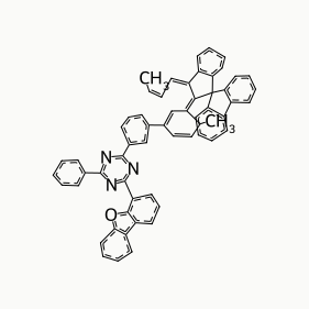 C\C=C/C=C1\C(=C2/C=C(c3cccc(-c4nc(-c5ccccc5)nc(-c5cccc6c5oc5ccccc56)n4)c3)C=CC2C)C2(c3ccccc31)c1ccccc1-c1ccccc12